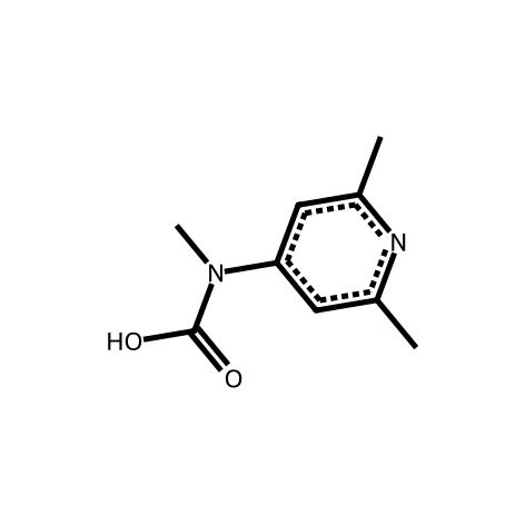 Cc1cc(N(C)C(=O)O)cc(C)n1